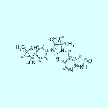 CC1(C)C(=O)N(c2ccc(C3(C#N)CC3(C)C)cc2)C(=O)N1Cc1ccnc2c1CC(=O)N2